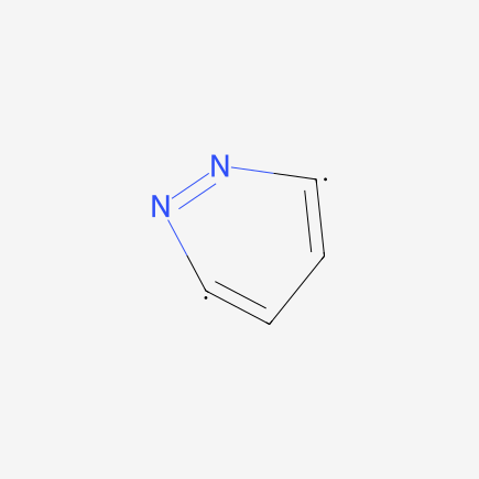 [c]1cc[c]nn1